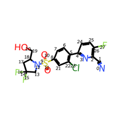 N#Cc1nc(-c2ccc(S(=O)(=O)N3CC(F)(F)CC3CO)cc2Cl)ccc1F